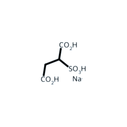 O=C(O)CC(C(=O)O)S(=O)(=O)O.[Na]